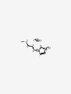 Br.CCCCCN1C=CN(C)C1